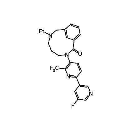 CCN1CCCN(c2ccc(-c3cncc(F)c3)nc2C(F)(F)F)C(=O)c2cccc(c2)C1